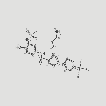 CS(=O)(=O)Nc1cc(NC(=O)c2ccc(-c3ccc(C(F)(F)F)cc3)cc2OCCCN)ccc1O